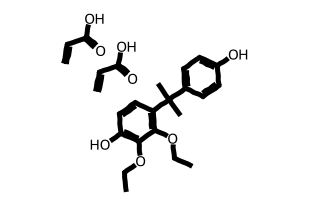 C=CC(=O)O.C=CC(=O)O.CCOc1c(O)ccc(C(C)(C)c2ccc(O)cc2)c1OCC